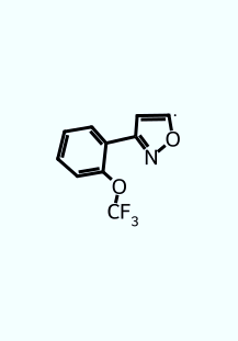 FC(F)(F)Oc1ccccc1-c1c[c]on1